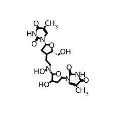 Cc1cn(C2CC(O)C(N(O)CCC3C[C@H](n4cc(C)c(=O)[nH]c4=O)O[C@@H]3CO)O2)c(=O)[nH]c1=O